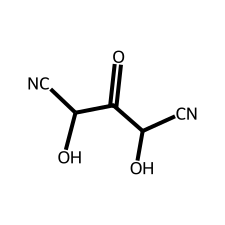 N#CC(O)C(=O)C(O)C#N